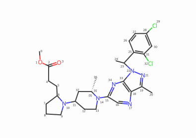 COC(=O)CCC1CCCN1C1CCN(c2cnc3c(C)nn(C(C)c4ccc(Cl)cc4Cl)c3n2)[C@@H](C)C1